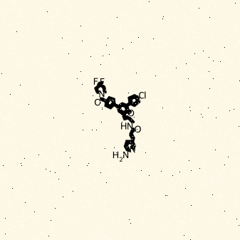 Nc1ccc(C=CC(=O)NCc2cc3cc(-c4ccc(C(=O)N5CCC(F)(F)CC5)cc4)cc(-c4ccc(Cl)cc4)c3o2)cn1